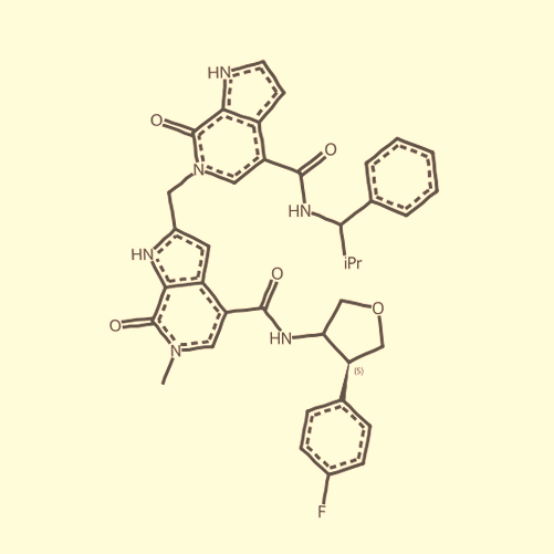 CC(C)C(NC(=O)c1cn(Cc2cc3c(C(=O)NC4COC[C@H]4c4ccc(F)cc4)cn(C)c(=O)c3[nH]2)c(=O)c2[nH]ccc12)c1ccccc1